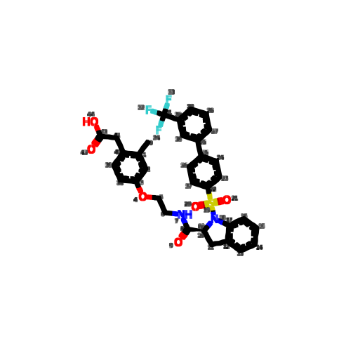 Cc1cc(OCCNC(=O)[C@@H]2Cc3ccccc3N2S(=O)(=O)c2ccc(-c3cccc(C(F)(F)F)c3)cc2)ccc1CC(=O)O